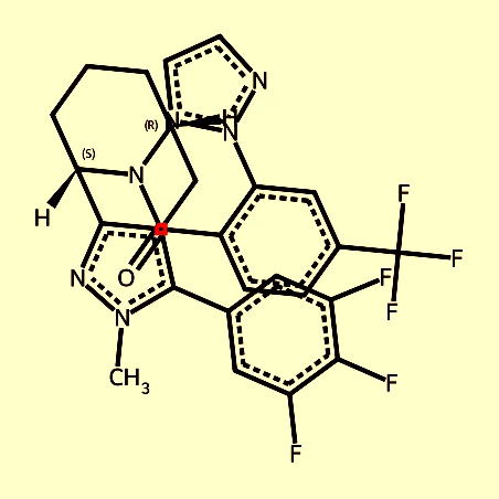 Cn1nc2c(c1-c1cc(F)c(F)c(F)c1)C[C@H]1CCC[C@@H]2N1C(=O)c1ccc(C(F)(F)F)cc1-n1nccn1